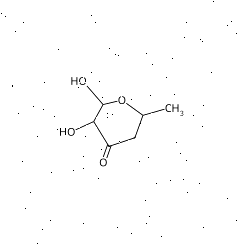 CC1CC(=O)C(O)C(O)O1